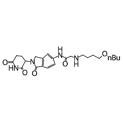 CCCCOCCCCNCC(=O)Nc1ccc2c(c1)CN(C1CCC(=O)NC1=O)C2=O